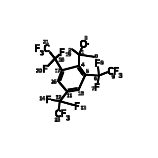 CC(C)([O])c1c(C(F)(F)C(F)(F)F)cc(C(F)(F)C(F)(F)F)cc1C(F)(F)C(F)(F)F